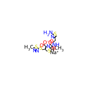 CO[C@@]1(NC(=O)Cc2csc(N)n2)C(=O)N2C(C(=O)[O-])=C(CSc3nnc(C)s3)CS[C@H]21.[Na+]